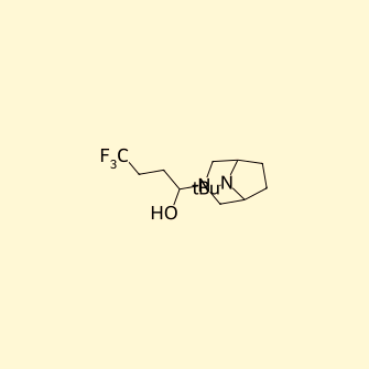 CC(C)(C)N1C2CCC1CN(C(O)CCC(F)(F)F)C2